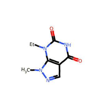 CCn1c(=O)[nH]c(=O)c2cnn(C)c21